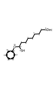 CCCCCCCCCCCCCCCCCC(S)Oc1ccccc1